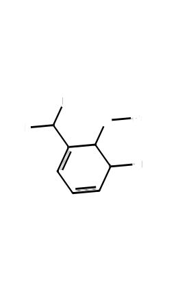 C[C]1C=CC=C(C(F)F)C1OC(C)C